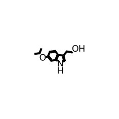 CC(C)Oc1ccc2c(CCO)c[nH]c2c1